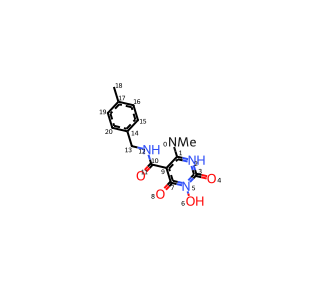 CNc1[nH]c(=O)n(O)c(=O)c1C(=O)NCc1ccc(C)cc1